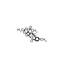 CC(=O)OC1O[C@H](COC(=O)c2ccc(C)cc2)[C@@H](N=[N+]=[N-])[C@H]1OC(C)=O